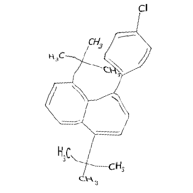 CC(C)(C)c1ccc(-c2ccc(Cl)cc2)c2c(C(C)(C)C)cccc12